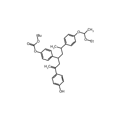 C=C(CC(CC(C)c1ccc(OC(C)OCC)cc1)c1ccc(OC(=O)OC(C)(C)C)cc1)c1ccc(O)cc1